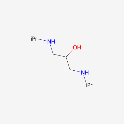 CC(C)NCC(O)CNC(C)C